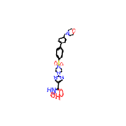 O=C(NO)c1cnc(N2CCN(S(=O)(=O)c3ccc(-c4ccc(CN5CCOCC5)cc4)cc3)CC2)nc1